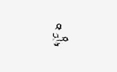 FC(F)(F)c1ccccc1CN1CCC(Nc2cc(-c3ccccc3Cl)nc3c(Br)cnn23)CC1